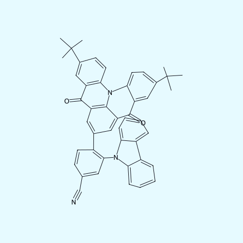 CC(C)(C)c1ccc2c(c1)c(=O)c1cc(-c3ccc(C#N)cc3-n3c4ccccc4c4ccccc43)cc3c(=O)c4cc(C(C)(C)C)ccc4n2c13